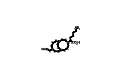 NCCCCC(C(=O)O)N1CCCN2CCN(CC=O)CCCN(CC2)CC1